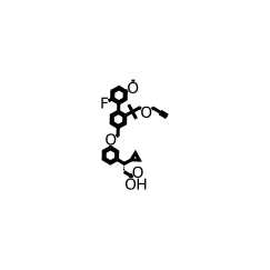 C#CCOCC(C)(C)c1cc(COc2cccc([C@@H](CC(=O)O)C3CC3)c2)ccc1-c1cc(OC)ccc1F